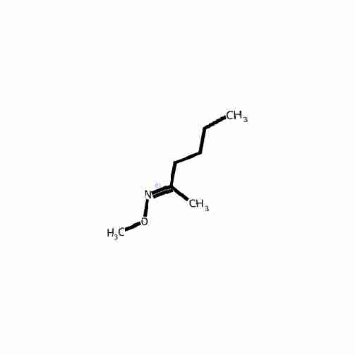 CCCC/C(C)=N/OC